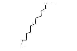 BCCCCCCCCCCCCCCCC